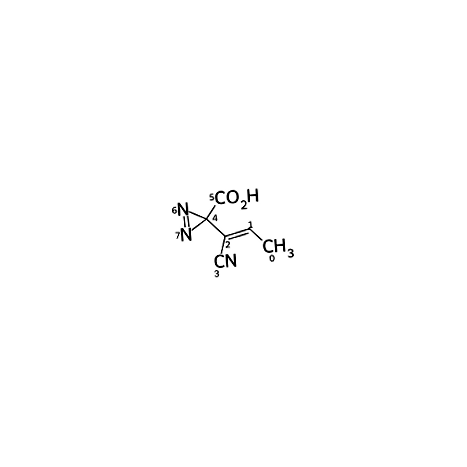 CC=C(C#N)C1(C(=O)O)N=N1